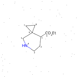 CCOC(=O)C1CCNCC12CC2